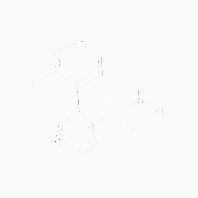 CNS(=O)(=O)c1ccccc1-c1ccccc1F